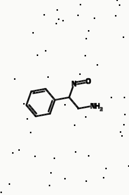 NCC(N=O)c1ccccc1